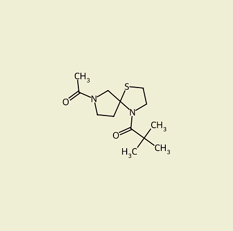 CC(=O)N1CCC2(C1)SCCN2C(=O)C(C)(C)C